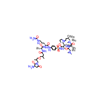 CC[C@H](C)[C@@H]([C@@H](CCN1CCC[C@H]1[C@H](OC)[C@@H](C)C(=O)NS(=O)(=O)c1ccc(NC(=O)[C@H](CCCNC(N)=O)NC(=O)[C@@H](NC(=O)CC(C)COCC(C)CN2C(=O)CC(N)C2=O)C(C)C)cc1)OC)N(C)C(=O)[C@@H](NC(=O)[C@H](C(C)C)N(C)C)C(C)C